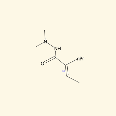 C/C=C(\CCC)C(=O)NN(C)C